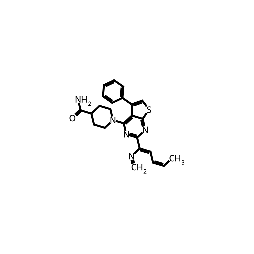 C=N/C(=C\C=C/C)c1nc(N2CCC(C(N)=O)CC2)c2c(-c3ccccc3)csc2n1